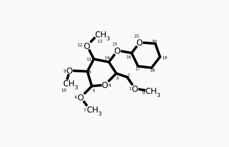 COCC1OC(OC)C(OC)C(OC)C1OC1CCCCO1